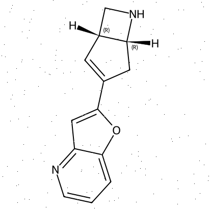 C1=C(c2cc3ncccc3o2)C[C@H]2NC[C@@H]12